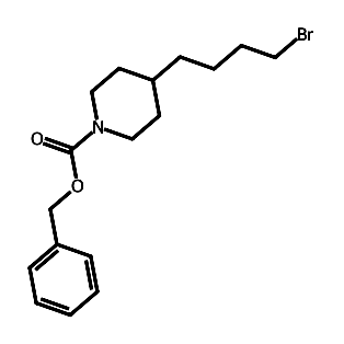 O=C(OCc1ccccc1)N1CCC(CCCCBr)CC1